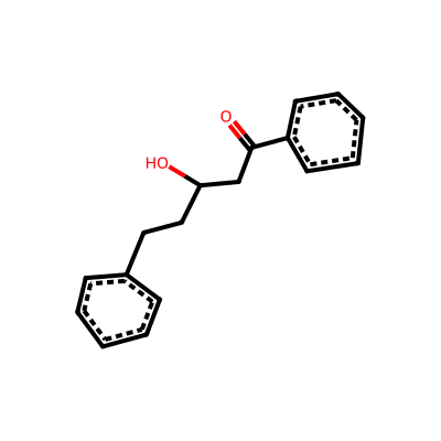 O=C(CC(O)CCc1ccccc1)c1ccccc1